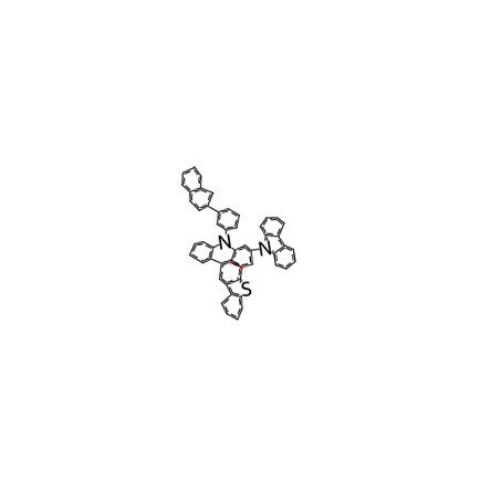 c1cc(-c2ccc3ccccc3c2)cc(N(c2cccc(-n3c4ccccc4c4ccccc43)c2)c2ccccc2-c2ccc3sc4ccccc4c3c2)c1